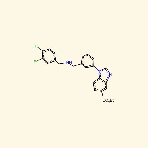 CCOC(=O)c1ccc2c(c1)ncn2-c1cccc(CNCc2ccc(F)c(F)c2)c1